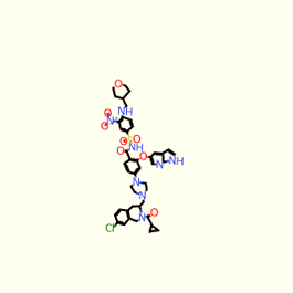 O=C(NS(=O)(=O)c1ccc(NCC2CCOCC2)c([N+](=O)[O-])c1)c1ccc(N2CCN(CC3Cc4ccc(Cl)cc4CN3C(=O)C3CC3)CC2)cc1Oc1cnc2[nH]ccc2c1